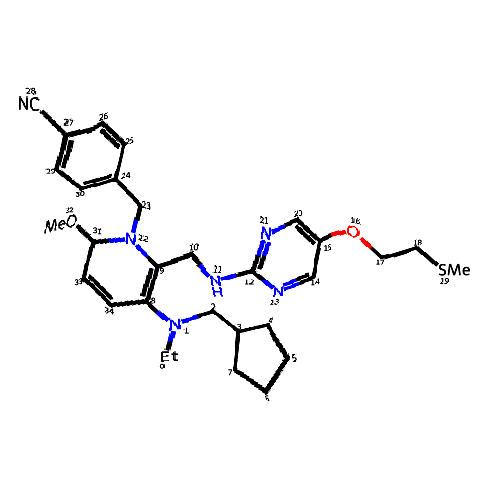 CCN(CC1CCCC1)C1=C(CNc2ncc(OCCSC)cn2)N(Cc2ccc(C#N)cc2)C(OC)C=C1